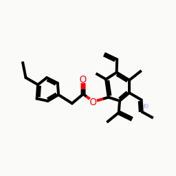 C=Cc1c(C)c(/C=C/C)c(C(=C)C)c(OC(=O)Cc2ccc(CC)cc2)c1C